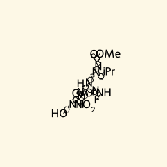 COc1cc(CN2CCN(C3CC4(CCN(c5ccc(C(=O)NS(=O)(=O)c6ccc(NCC7CCC(C)(O)CC7)c([N+](=O)[O-])c6)c(Oc6cnc7[nH]cc(F)c7c6)c5)CC4)C3)C(c3ccccc3C(C)C)C2)cc2ccoc12